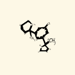 CC1(c2cc(Cl)cc(C3(C)CCCS3)c2)CCCS1